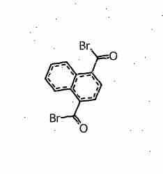 O=C(Br)c1ccc(C(=O)Br)c2ccccc12